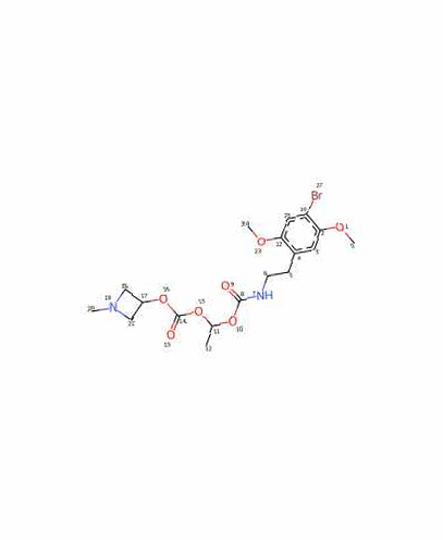 COc1cc(CCNC(=O)OC(C)OC(=O)OC2CN(C)C2)c(OC)cc1Br